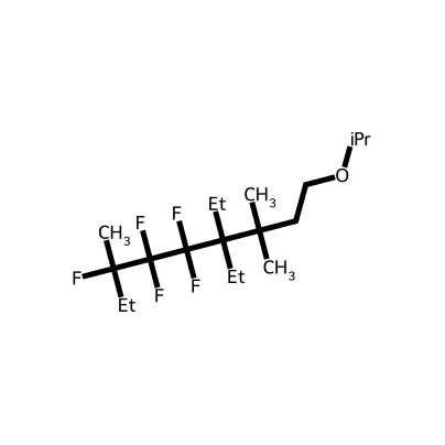 CCC(C)(F)C(F)(F)C(F)(F)C(CC)(CC)C(C)(C)CCOC(C)C